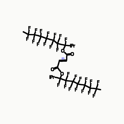 CC(C)C(F)(OC(=O)/C=C/C(=O)OC(F)(C(C)C)C(F)(F)C(F)(F)C(F)(F)C(F)(F)C(F)(F)C(C)(F)F)C(F)(F)C(F)(F)C(F)(F)C(F)(F)C(F)(F)C(C)(F)F